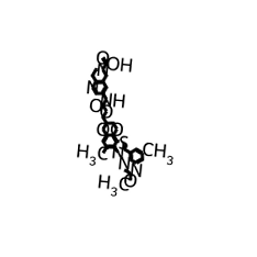 COc1cnc2c(-c3nc4c(C)cc5c(c4s3)OCC(COC(=O)Nc3cnc4c(c3)CN(C(=O)O)CC4)O5)cc(C)cc2n1